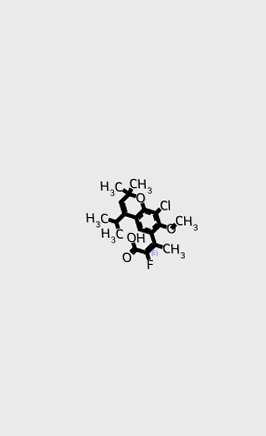 COc1c(/C(C)=C(/F)C(=O)O)cc2c(c1Cl)OC(C)(C)C=C2C(C)C